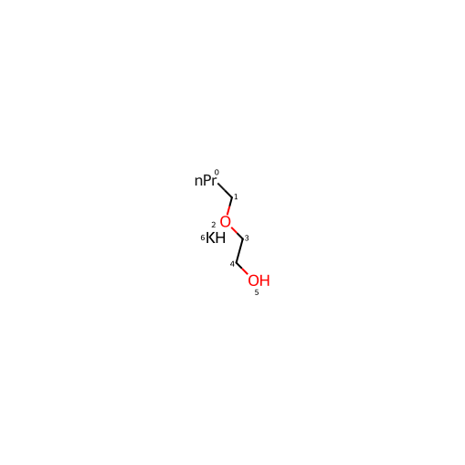 CCCCOCCO.[KH]